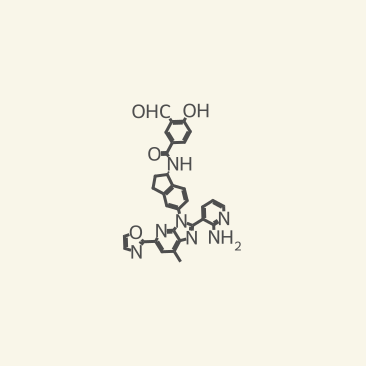 Cc1cc(-c2ncco2)nc2c1nc(-c1cccnc1N)n2-c1ccc2c(c1)CC[C@@H]2NC(=O)c1ccc(O)c(C=O)c1